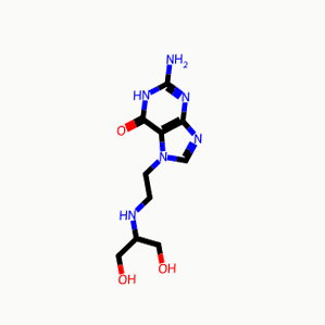 Nc1nc2ncn(CCNC(CO)CO)c2c(=O)[nH]1